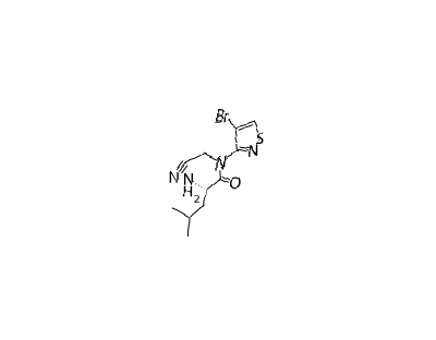 CC(C)C[C@H](N)C(=O)N(CC#N)c1nscc1Br